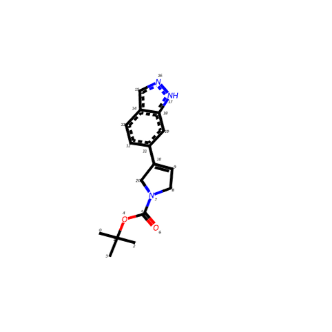 CC(C)(C)OC(=O)N1CC=C(c2ccc3cn[nH]c3c2)C1